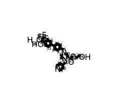 CC(O)(c1ccc(-c2ccc(CN3CCN(Cc4ccncc4)[C@@H](C(=O)OCCO)C3)cc2)cc1)C(F)(F)F